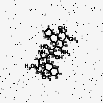 CN1CN(C)c2c3ccccc3cc3c(C4C(O)C(c5c(N)cc6c7c(c8ccccc8cc57)N(C)CN6C)C4O)c(N)cc1c23